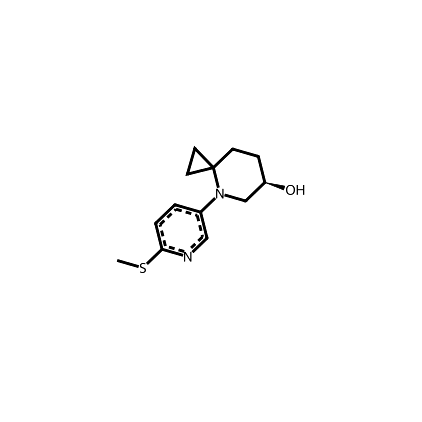 CSc1ccc(N2C[C@H](O)CCC23CC3)cn1